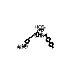 O=C(NO)c1ccc(CCCN2CCC(CNC3CC3c3ccc(-c4ccc(F)cc4)cc3)CC2)cc1.O=C(O)C(F)(F)F